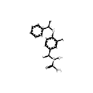 Cc1cc(C(C)N(O)C(N)=O)ccc1OC(C)c1ccccc1